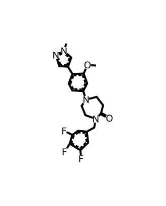 COc1cc(N2CCC(=O)N(Cc3cc(F)c(F)c(F)c3)CC2)ccc1-c1cnn(C)c1